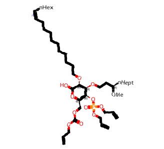 C=CCOC(=O)OC[C@H]1OC(O)[C@H](OCCCCCCCCCC/C=C\CCCCCC)[C@@H](OCC[C@@H](CCCCCCC)OC)[C@@H]1OP(=O)(OCC=C)OCC=C